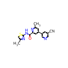 Cc1cc(-c2cncc(C#N)c2)cc(C(=O)Nc2nc(C)cs2)n1